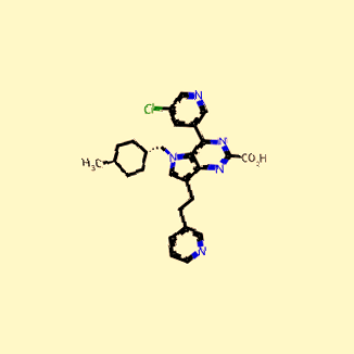 C[C@H]1CC[C@H](Cn2cc(CCc3cccnc3)c3nc(C(=O)O)nc(-c4cncc(Cl)c4)c32)CC1